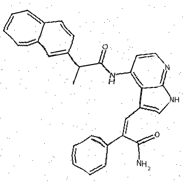 CC(C(=O)Nc1ccnc2[nH]cc(C=C(C(N)=O)c3ccccc3)c12)c1ccc2ccccc2c1